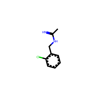 CC(=N)NCc1ccccc1Cl